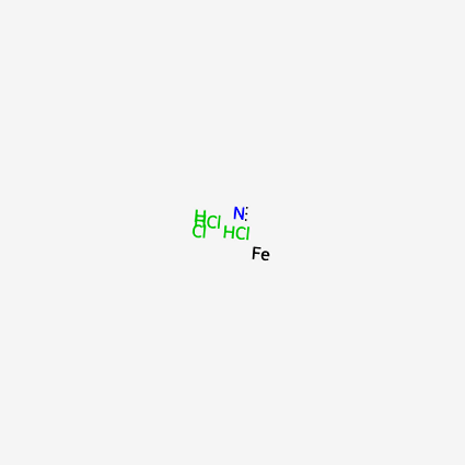 Cl.Cl.Cl.[Fe].[N]